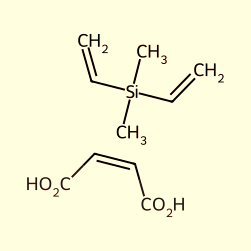 C=C[Si](C)(C)C=C.O=C(O)/C=C\C(=O)O